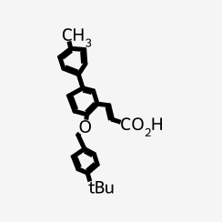 Cc1ccc(-c2ccc(OCc3ccc(C(C)(C)C)cc3)c(/C=C/C(=O)O)c2)cc1